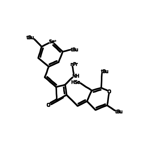 CCCNC1=C(C=C2C=C(C(C)(C)C)OC(C(C)(C)C)=C2[SeH])C(=O)C1=Cc1cc(C(C)(C)C)[se+]c(C(C)(C)C)c1